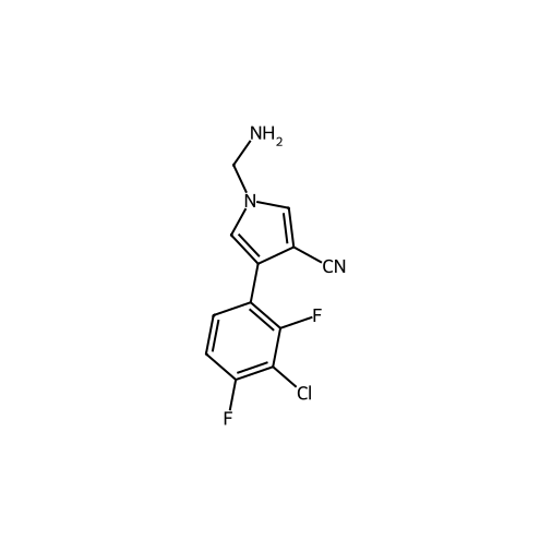 N#Cc1cn(CN)cc1-c1ccc(F)c(Cl)c1F